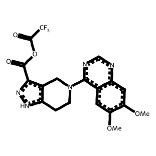 COc1cc2ncnc(N3CCc4[nH]nc(C(=O)OC(=O)C(F)(F)F)c4C3)c2cc1OC